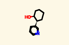 O[C@H]1CCCC[C@@H]1c1cccnc1